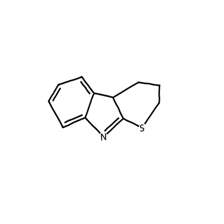 c1ccc2c(c1)N=C1SCCCC12